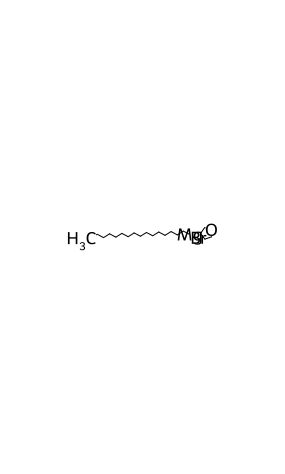 C1CCOC1.CCCCCCCCCCCCCCC[CH2][Mg][Br]